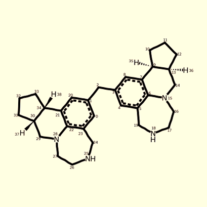 c1c(Cc2cc3c4c(c2)[C@H]2CCC[C@H]2CN4CCNC3)cc2c3c1CNCCN3C[C@@H]1CCC[C@H]21